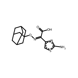 Nc1nc(C(=NOC23CC4CC(CC(C4)C2)C3)C(=O)O)cs1